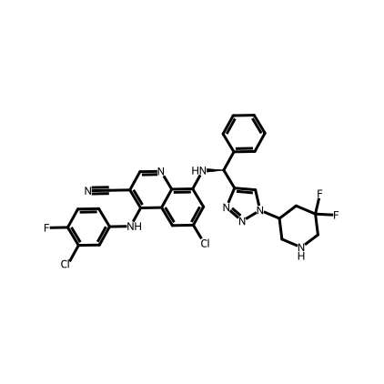 N#Cc1cnc2c(N[C@@H](c3ccccc3)c3cn(C4CNCC(F)(F)C4)nn3)cc(Cl)cc2c1Nc1ccc(F)c(Cl)c1